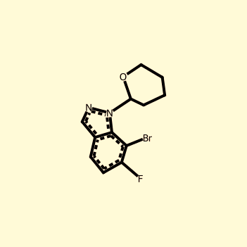 Fc1ccc2cnn(C3CCCCO3)c2c1Br